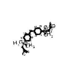 C[N+](C)(CC1CO1)C1CCC(CC2CCC([N+](C)(C)CC3CO3)CC2)CC1